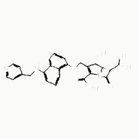 C[C@H]1C(COc2cccc3c(NCc4ccncc4)cccc23)=C(C(=O)O)N2C(=O)[C@H]([C@@H](C)O)C12